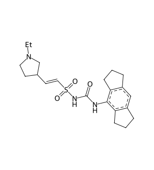 CCN1CCC(/C=C/S(=O)(=O)NC(=O)Nc2c3c(cc4c2CCC4)CCC3)C1